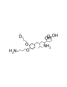 COCCCOc1cc(C[C@@H](C[C@H](N)[C@@H](O)C[C@@H](C)C(=O)O)C(C)C)ccc1OCCCCN